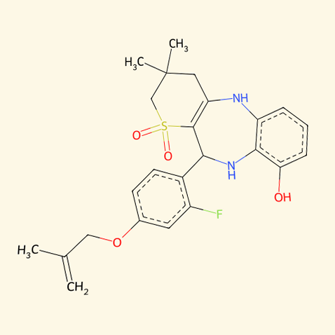 C=C(C)COc1ccc(C2Nc3c(O)cccc3NC3=C2S(=O)(=O)CC(C)(C)C3)c(F)c1